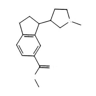 COC(=O)c1ccc2c(c1)C(C1CCN(C)C1)CC2